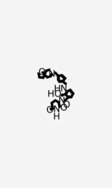 O=C1CCC(N2C(=O)c3cccc(NCc4ccc(CN5CCC6(CCCO6)CC5)cc4)c3C2O)C(=O)N1